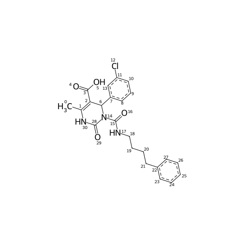 CC1=C(C(=O)O)C(c2cccc(Cl)c2)N(C(=O)NCCCCc2ccccc2)C(=O)N1